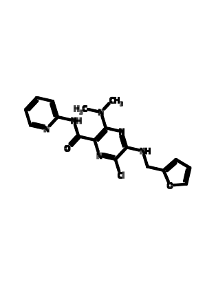 CN(C)c1nc(NCc2ccco2)c(Cl)nc1C(=O)Nc1ccccn1